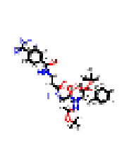 CC(C)(C)OC(=O)C[C@H](NC(=O)CCNC(=O)c1ccc(C(=N)N)cc1)C(=O)N[C@@H](Cc1ccccc1)C(=O)OC(C)(C)C